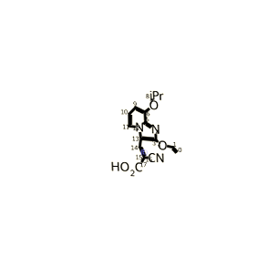 C=COc1nc2c(OC(C)C)cccn2c1/C=C(\C#N)C(=O)O